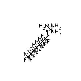 N[Si](N)(N)CCC(F)(F)C(F)(F)C(F)(F)C(F)(F)C(F)(F)C(F)(F)C(F)(F)F